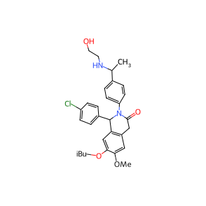 CCC(C)Oc1cc2c(cc1OC)CC(=O)N(c1ccc(C(C)NCCO)cc1)C2c1ccc(Cl)cc1